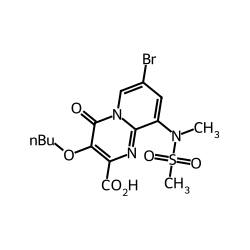 CCCCOc1c(C(=O)O)nc2c(N(C)S(C)(=O)=O)cc(Br)cn2c1=O